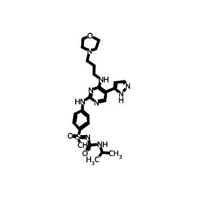 CC(C)NC(=O)N=S(C)(=O)c1ccc(Nc2ncc(-c3ccn[nH]3)c(NCCCN3CCOCC3)n2)cc1